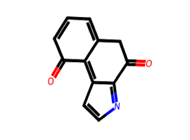 O=C1C=CC=C2CC(=O)C3=NC=CC3=C12